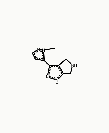 Cn1nccc1-c1n[nH]c2c1CNC2